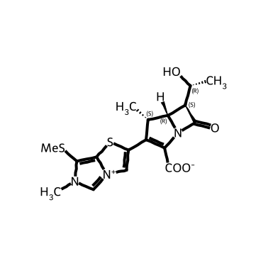 CSc1c2sc(C3=C(C(=O)[O-])N4C(=O)[C@H]([C@@H](C)O)[C@H]4[C@H]3C)c[n+]2cn1C